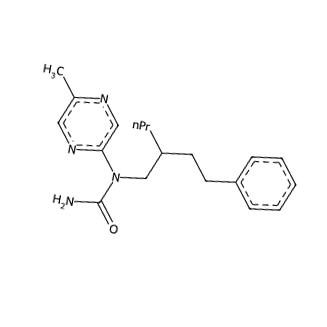 CCCC(CCc1ccccc1)CN(C(N)=O)c1cnc(C)cn1